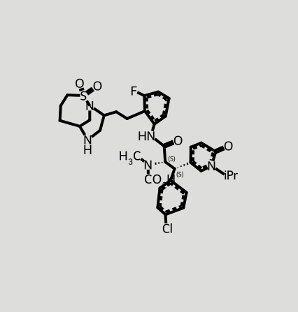 CC(C)n1cc([C@H](c2ccc(Cl)cc2)[C@@H](C(=O)Nc2cccc(F)c2CCC2CNC3CCCS(=O)(=O)N2C3)N(C)C(=O)O)ccc1=O